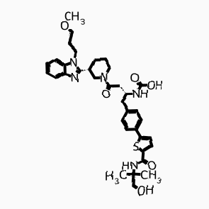 COCCCn1c([C@@H]2CCCN(C(=O)C[C@@H](Cc3ccc(-c4ccc(C(=O)NC(C)(C)CO)s4)cc3)NC(=O)O)C2)nc2ccccc21